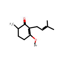 CC(C)=CCC1=C(OC(C)C)CCC(C(F)(F)F)C1=O